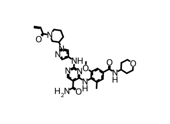 C=CC(=O)N1CCCC(n2cc(Nc3ncc(C(N)=O)c(Nc4c(C)cc(C(=O)NC5CCOCC5)cc4OC)n3)cn2)C1